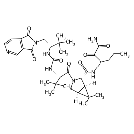 CCCC(NC(=O)[C@@H]1[C@@H]2[C@H](CN1C(=O)[C@@H](NC(=O)N[C@H](CN1C(=O)c3ccncc3C1=O)C(C)(C)C)C(C)(C)C)C2(C)C)C(=O)C(N)=O